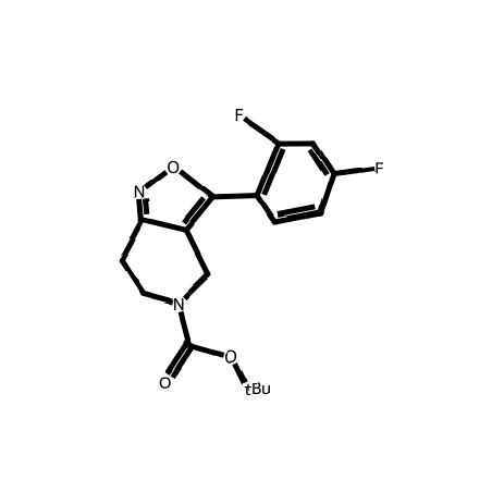 CC(C)(C)OC(=O)N1CCc2noc(-c3ccc(F)cc3F)c2C1